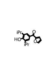 CC(C)c1cc(C(=O)c2ccco2)cc(C(C)C)c1O